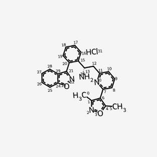 Cc1noc(C)c1-c1cccc(C[C@H](N)c2ccccc2-c2noc3ccccc23)n1.Cl